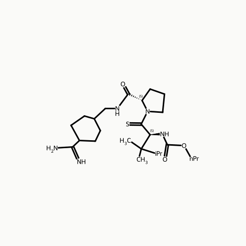 CCCOC(=O)N[C@H](C(=S)N1CCC[C@H]1C(=O)NCC1CCC(C(=N)N)CC1)C(C)(C)C(C)C